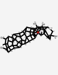 CCC1CC2C(CC)C34C(C)C5C1C1C6C7C8C9C%10C%11C%12C%13C(S)C%14C%15C%16C%15(S)CCC%15C%17C%18C%15(S)[C@H]%15C%19C%20C%21C%22C%23C%24C%25C%26C(C23)C42C%26C%253C6(C7C84C%243C%23C%223C94C%10C%114C%213C%20C%193C%124C%13C(C)(C%14%17%16)C%18%153)C512